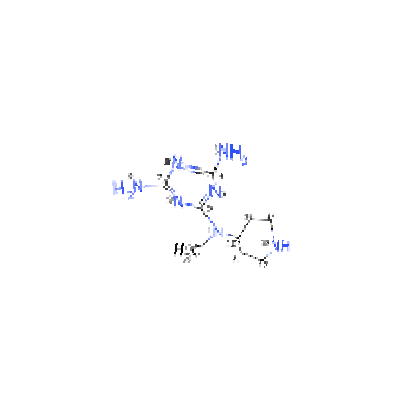 CN(c1nc(N)nc(N)n1)C1CCNCC1